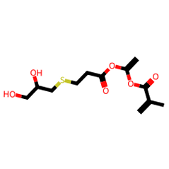 C=C(OC(=O)CCSCC(O)CO)OC(=O)C(=C)C